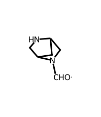 O=[C]N1CC2CC1CN2